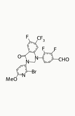 COc1ccc(N2CN(c3ccc(C=O)c(F)c3F)c3cc(C(F)(F)F)c(F)cc3C2=O)c(Br)n1